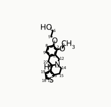 COc1c(OCCO)ccc2c1CN1CCc3sccc3[C@@H]1C2